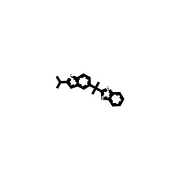 CC(C)c1cc2cc(C(C)(C)c3nc4ccccc4s3)ccc2s1